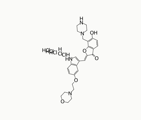 Cl.Cl.Cl.Cl.Cl.O=C1C(=Cc2c[nH]c3ccc(OCCN4CCOCC4)cc23)Oc2c1ccc(O)c2CN1CCNCC1